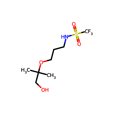 CC(C)(CO)OCCCNS(=O)(=O)C(F)(F)F